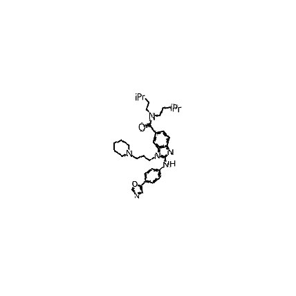 CC(C)CCN(CCC(C)C)C(=O)c1ccc2nc(Nc3ccc(-c4cnco4)cc3)n(CCCN3CCCCC3)c2c1